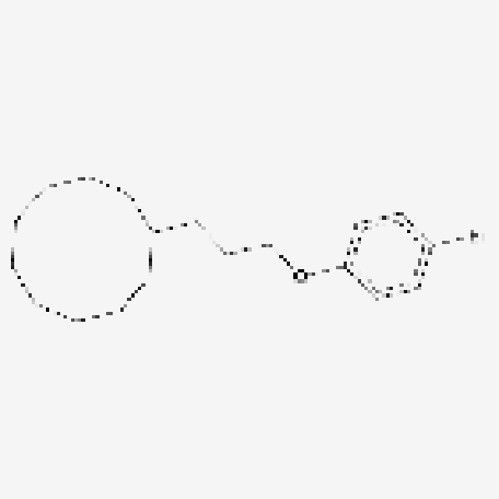 Brc1ccc(OCCCC2CCCCCCCCC2)cc1